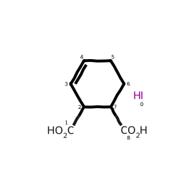 I.O=C(O)C1C=CCCC1C(=O)O